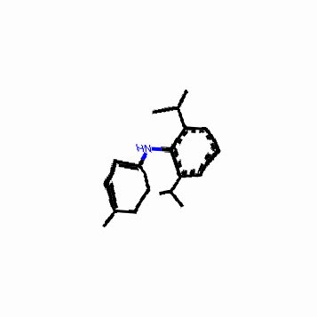 CC1=CC=C(Nc2c(C(C)C)cccc2C(C)C)CC1